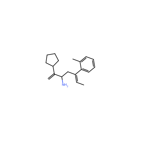 C=C(C(N)C/C(=C/C)c1ccccc1C)C1CCCC1